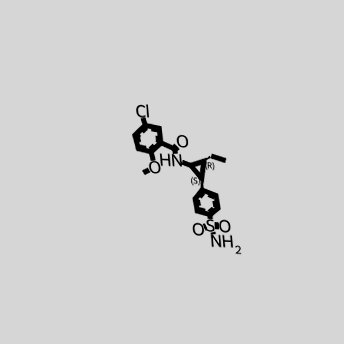 CC[C@H]1C(NC(=O)c2cc(Cl)ccc2OC)[C@@H]1c1ccc(S(N)(=O)=O)cc1